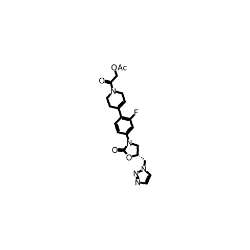 CC(=O)OCC(=O)N1CC=C(c2ccc(N3C[C@H](Cn4ccnn4)OC3=O)cc2F)CC1